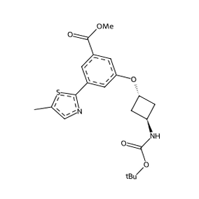 COC(=O)c1cc(O[C@H]2C[C@H](NC(=O)OC(C)(C)C)C2)cc(-c2ncc(C)s2)c1